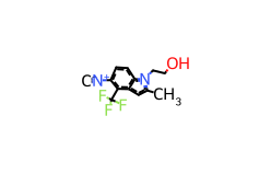 [C-]#[N+]c1ccc2c(cc(C)n2CCO)c1C(F)(F)F